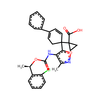 Cc1noc(C2(C3(C(=O)O)CC3)C=CC(c3ccccc3)=CC2)c1NC(=O)O[C@H](C)c1ccccc1Cl